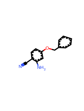 N#Cc1ccc(OCc2ccccc2)cc1N